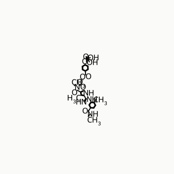 CCNC(=O)c1ccc(C)c(NC(=N)c2[nH]cc(C(=O)N(CC)C(=O)OCOC(=O)c3ccc(OP(=O)(O)O)cc3)c2C)c1